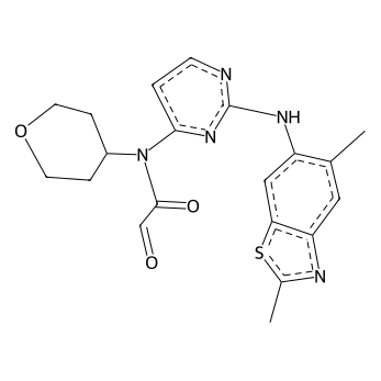 Cc1nc2cc(C)c(Nc3nccc(N(C(=O)C=O)C4CCOCC4)n3)cc2s1